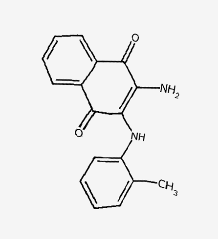 Cc1ccccc1NC1=C(N)C(=O)c2ccccc2C1=O